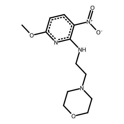 COc1ccc([N+](=O)[O-])c(NCCN2CCOCC2)n1